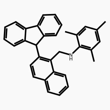 Cc1cc(C)c(NCc2c(C3c4ccccc4-c4ccccc43)ccc3ccccc23)c(C)c1